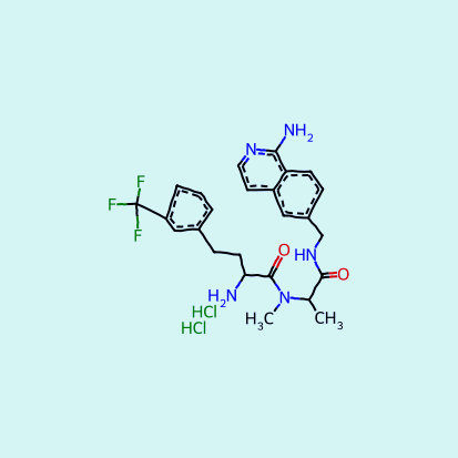 CC(C(=O)NCc1ccc2c(N)nccc2c1)N(C)C(=O)C(N)CCc1cccc(C(F)(F)F)c1.Cl.Cl